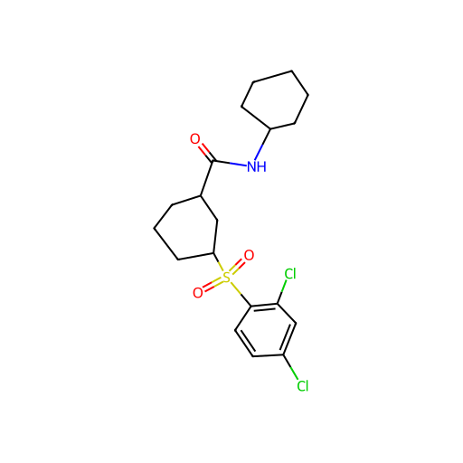 O=C(NC1CCCCC1)C1CCCC(S(=O)(=O)c2ccc(Cl)cc2Cl)C1